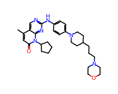 Cc1cc(=O)n(C2CCCC2)c2nc(Nc3ccc(N4CCC(CCCN5CCOCC5)CC4)cc3)ncc12